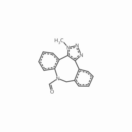 Cn1nnc2c1-c1ccccc1N(C=O)Cc1ccccc1-2